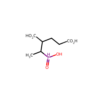 CC(C(CCC(=O)O)C(=O)O)[PH](=O)O